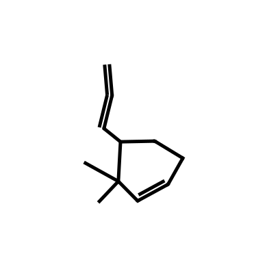 C=C=CC1CCC=CC1(C)C